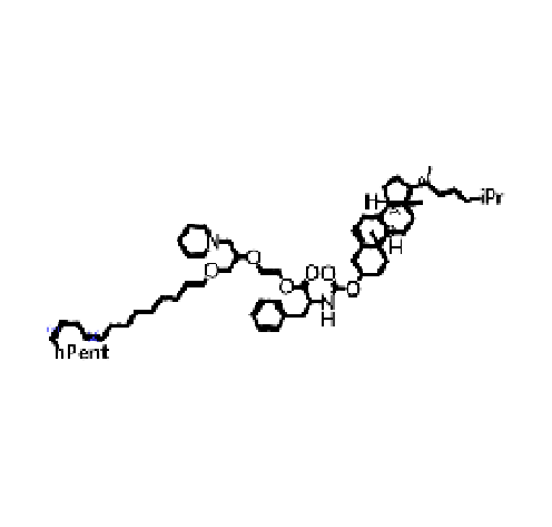 CCCCC/C=C\C/C=C\CCCCCCCCOCC(CN1CCCCC1)OCCOC(=O)C(Cc1ccccc1)NC(=O)OC1CCC2(C)C(=CCC3[C@@H]2CCC2(C)C([C@@H](C)CCCC(C)C)CC[C@@H]32)C1